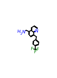 NCc1ccc(Cc2ccc(C(F)(F)F)cc2)c2ncccc12